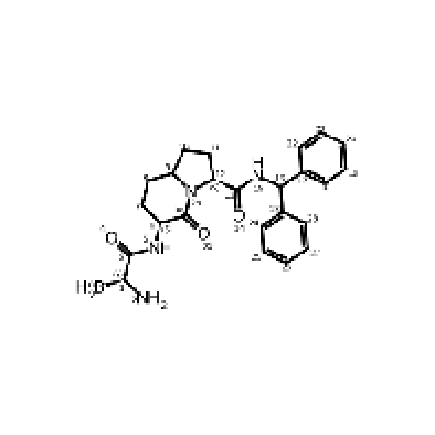 B[C@H](N)C(=O)N[C@H]1CCC2CC[C@@H](C(=O)NC(c3ccccc3)c3ccccc3)N2C1=O